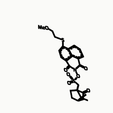 COCCSc1ccc2c3c(cccc13)C(=O)N(OS(=O)(=O)CC13CCC(CC1=O)C3(C)C)C2=O